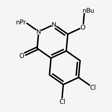 CCCCOc1nn(CCC)c(=O)c2cc(Cl)c(Cl)cc12